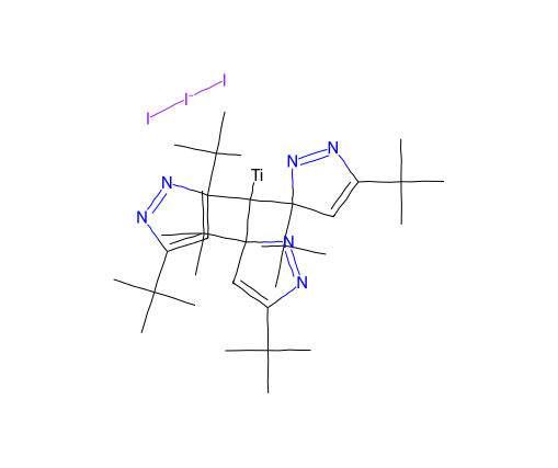 CC(C)(C)C1=CC(C(C)(C)C)([C]([Ti])(C2(C(C)(C)C)C=C(C(C)(C)C)N=N2)C2(C(C)(C)C)C=C(C(C)(C)C)N=N2)N=N1.I[I-]I